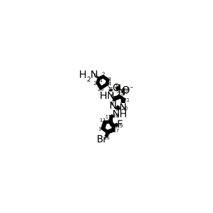 N[C@H]1CC[C@H](CNc2nc(NCc3ccc(Br)cc3F)ncc2[N+](=O)[O-])CC1